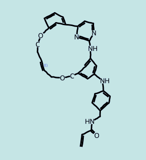 C=CC(=O)NCc1ccc(Nc2cc3cc(c2)Nc2nccc(n2)-c2cccc(c2)OCC/C=C/COC3)cc1